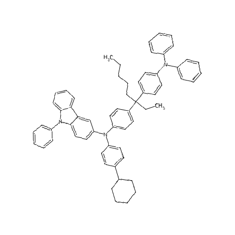 CCCCCC(CC)(c1ccc(N(c2ccccc2)c2ccccc2)cc1)c1ccc(N(c2ccc(C3CCCCC3)cc2)c2ccc3c(c2)c2ccccc2n3-c2ccccc2)cc1